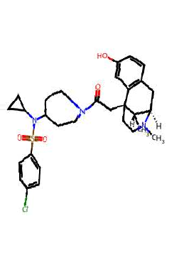 C[C@H]1[C@H]2Cc3ccc(O)cc3[C@@]1(CC(=O)N1CCC(N(C3CC3)S(=O)(=O)c3ccc(Cl)cc3)CC1)CCN2C